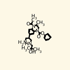 CC(=O)N1c2ccc(C(CN)CNCC(C)(C)O)cc2N(C(=O)Oc2ccccc2)C[C@@H]1C